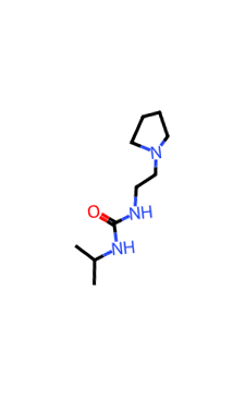 CC(C)NC(=O)NCCN1CCCC1